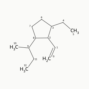 C=CC1C(CC)CCC1C(C)CC